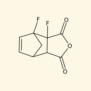 O=C1OC(=O)C2(F)C1C1C=CC2(F)C1